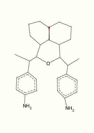 CC(c1ccc(N)cc1)C(OC(C1CCCCC1)C(C)c1ccc(N)cc1)C1CCCCC1